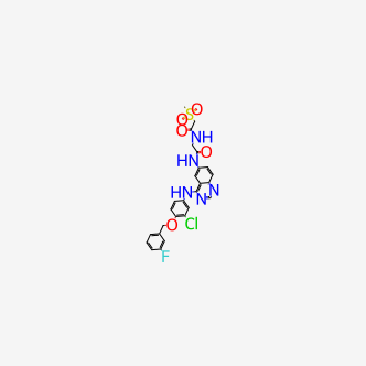 CS(=O)(=O)CC(=O)NCC(=O)Nc1ccc2ncnc(Nc3ccc(OCc4cccc(F)c4)c(Cl)c3)c2c1